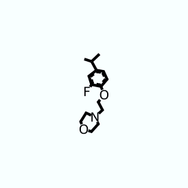 CC(C)c1ccc(OCCN2CCOCC2)c(F)c1